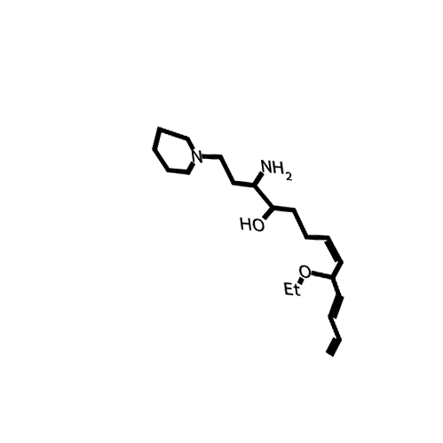 C=CC=CC(/C=C\CCC(O)C(N)CCN1CCCCC1)OCC